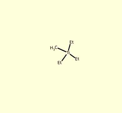 C[CH2][Ti]([CH3])([CH2]C)[CH2]C